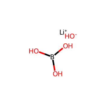 OB(O)O.[Li+].[OH-]